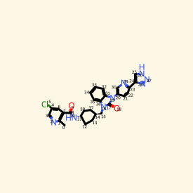 Cc1ncc(Cl)cc1C(=O)N[C@H]1CC[C@H](Cn2c(=O)n(-c3ccc(-c4c[nH]nn4)nc3)c3ccccc32)CC1